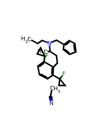 CC#N.CCCN(Cc1ccccc1)C(C)CCc1c(C2(F)CC2)cccc1C1(F)CC1